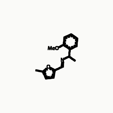 COc1ccccc1C(C)/N=C/c1ccc(C)o1